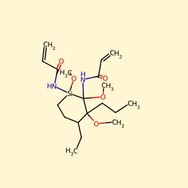 C=CC(=O)NC1(OC)C(CCC)(OC)C(CC)CC[Si]1(NC(=O)C=C)OC